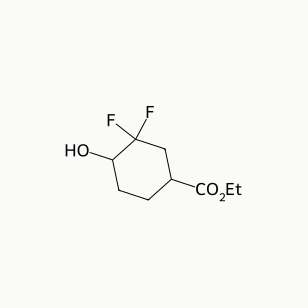 CCOC(=O)C1CCC(O)C(F)(F)C1